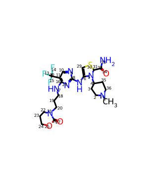 CN1CCC(N2C(Nc3ncc(C(F)(F)F)c(NCCCN4CCCOC4=O)n3)=CSC2C(N)=O)CC1